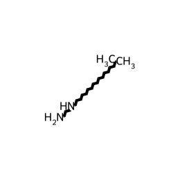 CC(C)CCCCCCCCCCCCCCCNCCCN